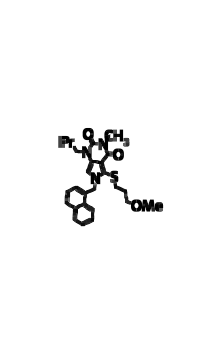 COCCCSc1c2c(=O)n(C)c(=O)n(CC(C)C)c2cn1Cc1cccc2ccccc12